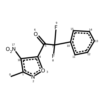 Cc1noc(C(=O)C(F)(F)c2ccccc2)c1[N+](=O)[O-]